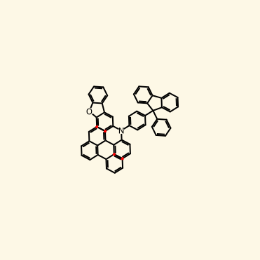 c1ccc(-c2cccc3cccc(-c4ccccc4N(c4ccc(C5(c6ccccc6)c6ccccc6-c6ccccc65)cc4)c4ccc5oc6ccccc6c5c4)c23)cc1